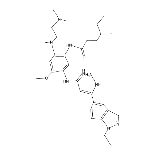 CCC(C)/C=C/C(=O)Nc1cc(NC(=N)/C=C(\NN)c2ccc3c(cnn3CC)c2)c(OC)cc1N(C)CCN(C)C